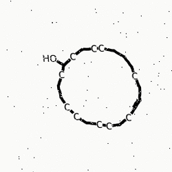 OC1CCCCCCCCC/C=C\CCCCCCCCCC1